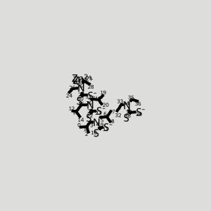 CC(C)CN(CC(C)C)C(=S)[S-].CC(C)CN(CC(C)C)C(=S)[S-].CCN(CC)C(=S)[S-].CCN(CC)C(=S)[S-].[Zn+2].[Zn+2]